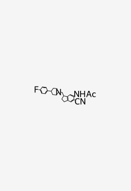 CC(=O)Nc1cc2c(cc1C#N)CCC2CN1CCC(c2ccc(F)cc2)CC1